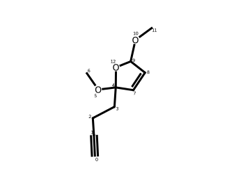 C#CCCC1(OC)C=CC(OC)O1